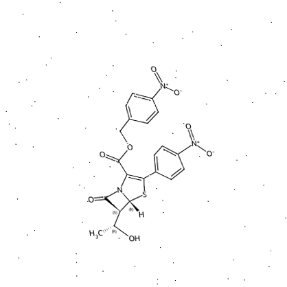 C[C@@H](O)[C@H]1C(=O)N2C(C(=O)OCc3ccc([N+](=O)[O-])cc3)=C(c3ccc([N+](=O)[O-])cc3)S[C@H]12